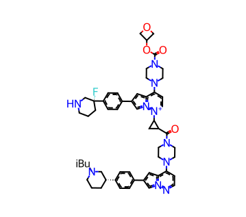 CCC(C)N1CCC[C@@H](c2ccc(-c3cc4c(N5CCN(C(=O)C6CC6[n+]6ccc(N7CCN(C(=O)OC8COC8)CC7)c7cc(-c8ccc([C@@]9(F)CCCNC9)cc8)cn76)CC5)ccnn4c3)cc2)C1